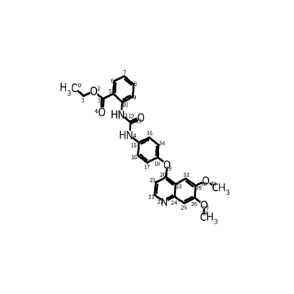 CCOC(=O)c1ccccc1NC(=O)Nc1ccc(Oc2ccnc3cc(OC)c(OC)cc23)cc1